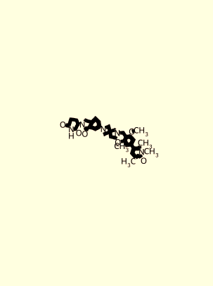 COc1cc(-c2cc(C)c(=O)n(C)c2C)cc(OC)c1CN1CCC2(C1)CN(c1ccc3c(c1)C(=O)N(C1CCC(=O)NC1=O)C3)C2